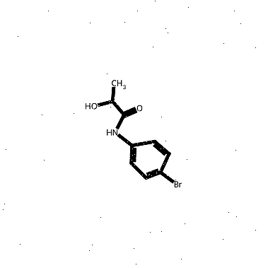 CC(O)C(=O)Nc1ccc(Br)cc1